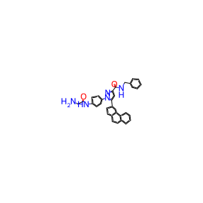 NCC(=O)Nc1ccc(-n2nc(C(=O)NCc3ccccc3)cc2-c2ccc3ccc4ccccc4c3c2)cc1